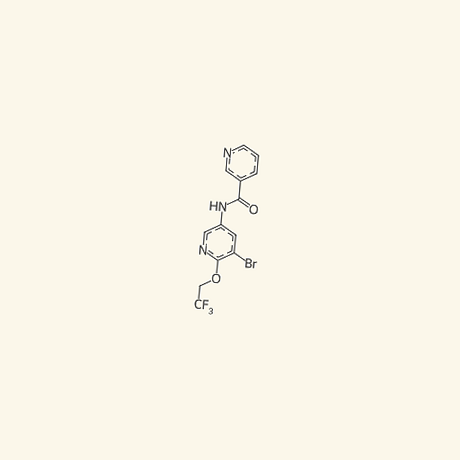 O=C(Nc1cnc(OCC(F)(F)F)c(Br)c1)c1cccnc1